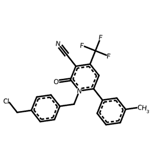 Cc1cccc(-c2cc(C(F)(F)F)c(C#N)c(=O)n2Cc2ccc(CCl)cc2)c1